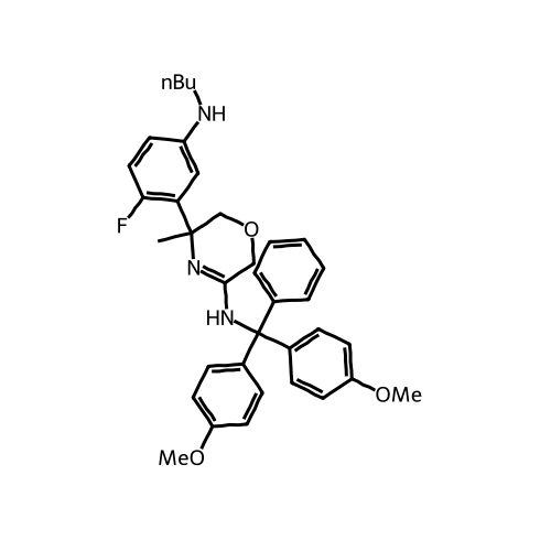 CCCCNc1ccc(F)c(C2(C)COCC(NC(c3ccccc3)(c3ccc(OC)cc3)c3ccc(OC)cc3)=N2)c1